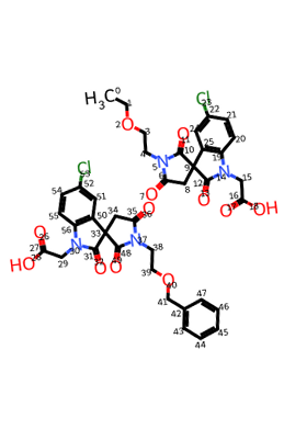 CCOCCN1C(=O)CC2(C1=O)C(=O)N(CC(=O)O)c1ccc(Cl)cc12.O=C(O)CN1C(=O)C2(CC(=O)N(CCOCc3ccccc3)C2=O)c2cc(Cl)ccc21